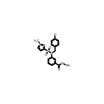 Cn1ccc(S(=O)(=O)N(Cc2ccc(Cl)cc2)c2cccc(C(=O)OC(C)(C)C)c2)n1